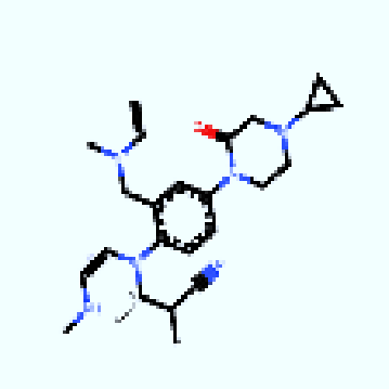 C=CN(C)Cc1cc(N2CCN(C3CC3)CC2=O)ccc1N(/C=C\NC)[C@@H](C)C(C)C#N